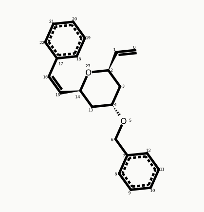 C=C[C@H]1C[C@H](OCc2ccccc2)C[C@@H](/C=C\c2ccccc2)O1